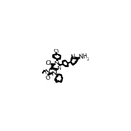 CCn1c(=O)n(-c2ccccc2)c2nc(-c3ccc(-c4ccc(N)nc4)cc3)n(-c3ccc(Cl)cc3)c(=O)c21